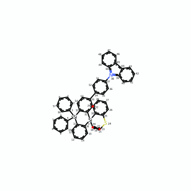 c1ccc([Si]2(c3ccccc3)c3ccccc3[Si]3(c4ccccc4Sc4ccccc43)c3cc(-c4ccc(-n5c6ccccc6c6ccccc65)cc4)ccc32)cc1